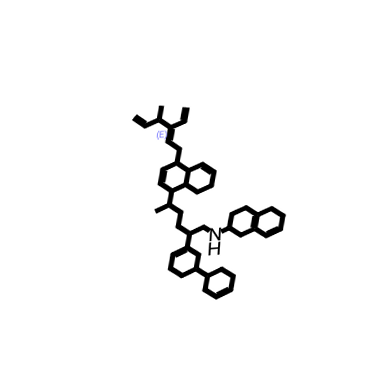 C=C/C(=C\CC1C=CC(C(C)CCC(CNC2CCC3=C(C=CCC3)C2)C2=CCCC(C3CC=CCC3)C2)C2CCC=CC12)C(C)C=C